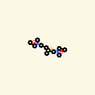 c1ccc(N(c2ccc(-c3ccc4c(c3)c3ccccc3c3c5ccc(N(c6ccccc6)c6cccc7c6oc6ccccc67)cc5sc43)cc2)c2cccc3c2oc2ccccc23)cc1